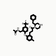 CC(=O)NCc1cc(C(F)(F)F)ccc1Oc1ccc(C)cc1CCC(=O)N1CCNCC1Cc1ccccc1